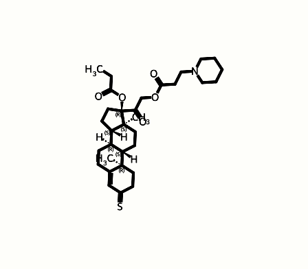 CCC(=O)O[C@]1(C(=O)COC(=O)CCN2CCCCC2)CC[C@H]2[C@@H]3CCC4=CC(=S)CC[C@]4(C)[C@H]3CC[C@@]21C